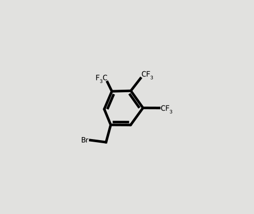 FC(F)(F)c1cc(CBr)cc(C(F)(F)F)c1C(F)(F)F